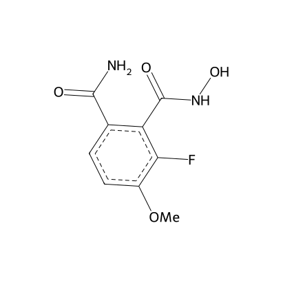 COc1ccc(C(N)=O)c(C(=O)NO)c1F